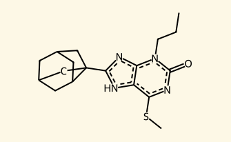 CCCn1c(=O)nc(SC)c2[nH]c(C34CC5CC(CC3C5)C4)nc21